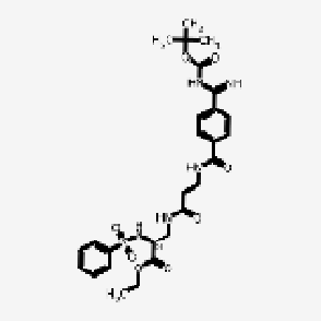 CCOC(=O)[C@H](CNC(=O)CCNC(=O)c1ccc(C(=N)NC(=O)OC(C)(C)C)cc1)NS(=O)(=O)c1ccccc1